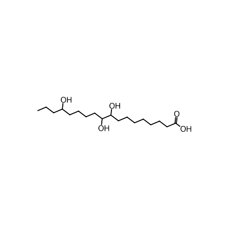 CCCC(O)CCCCC(O)C(O)CCCCCCCC(=O)O